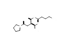 CCCCc1nc(C)c(CC(=S)N2CCCC2)c(=O)[nH]1